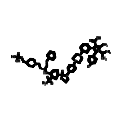 Cc1c(C(=O)O)c(-c2cccc(N3CCN(c4ccc(N5CCO[P@@]5(=O)c5ccc(N[C@H](CCN6CCC(COP(=O)(O)O)CC6)CSc6ccccc6)c(S(C)(=O)=O)c5)cc4)CC3)c2)c(-c2ccc(Cl)cc2)n1C(C)C